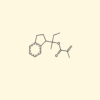 C=C(C)C(=O)OC(C)(CC)C1CCc2ccccc21